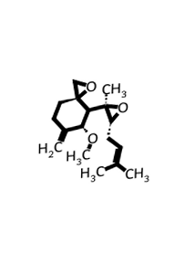 C=C1CC[C@]2(CO2)C([C@@]2(C)O[C@@H]2CC=C(C)C)[C@@H]1OC